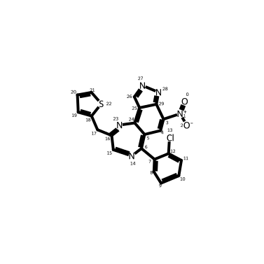 O=[N+]([O-])c1cc2c(-c3ccccc3Cl)ncc(Cc3cccs3)nc2c2cnnc12